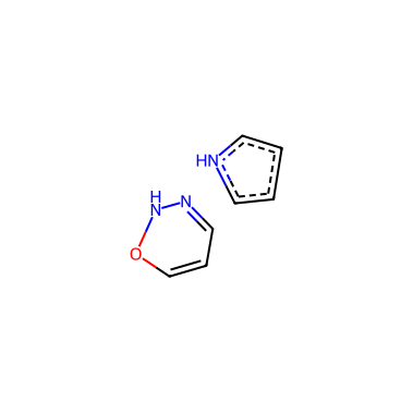 C1=CONN=C1.c1cc[nH]c1